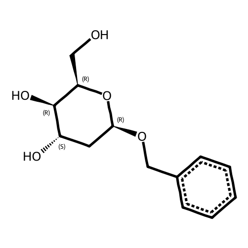 OC[C@H]1O[C@@H](OCc2ccccc2)C[C@H](O)[C@H]1O